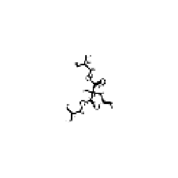 C=CCC(C)(C(=O)OCC(C)C)C(=O)OCC(C)C